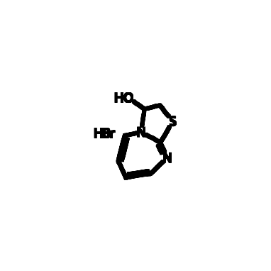 Br.OC1CSC2=NC=CC=CN21